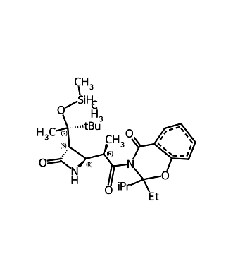 CCC1(C(C)C)Oc2ccccc2C(=O)N1C(=O)[C@H](C)[C@H]1NC(=O)[C@@H]1[C@@](C)(O[SiH](C)C)C(C)(C)C